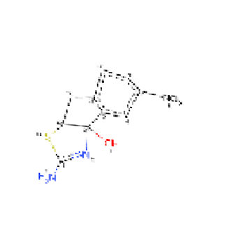 NC1=NC2(O)c3cc([N+](=O)[O-])ccc3CC2S1